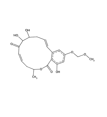 COCOc1cc(O)c2c(c1)/C=C/CC(O)C(O)C(=O)/C=C\CC(C)OC2=O